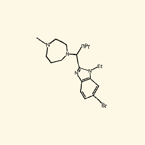 CCCC(c1nc2ccc(Br)cc2n1CC)N1CCCN(C)CC1